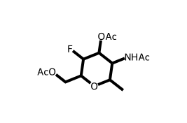 CC(=O)NC1C(C)OC(COC(C)=O)C(F)C1OC(C)=O